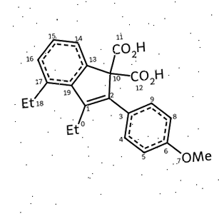 CCC1=C(c2ccc(OC)cc2)C(C(=O)O)(C(=O)O)c2cccc(CC)c21